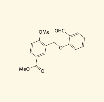 COC(=O)c1ccc(OC)c(COc2ccccc2C=O)c1